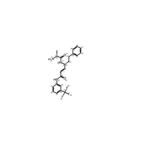 C[C@H](N)C(=O)N[C@H](/C=C/C(=O)Nc1cccc(C(F)(F)F)c1)CCc1ccccc1